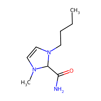 CCCCN1C=CN(C)C1C(N)=O